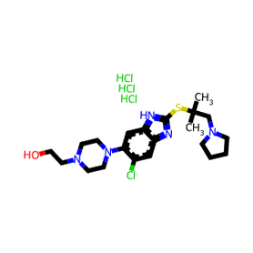 CC(C)(CN1CCCC1)Sc1nc2cc(Cl)c(N3CCN(CCO)CC3)cc2[nH]1.Cl.Cl.Cl